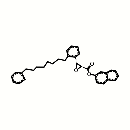 O=C(Oc1ccc2ccccc2c1)[C@H]1O[C@@H]1c1ccccc1CCCCCCCCc1ccccc1